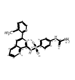 Cc1cccnc1-c1cc2cccnc2c(NS(=O)(=O)c2ccc(NC(N)=O)cc2)n1